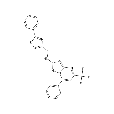 FC(F)(F)c1cc(-c2ccccc2)n2nc(NCc3csc(-c4ccccc4)n3)nc2n1